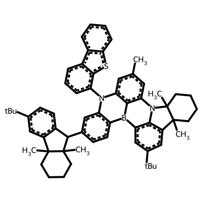 Cc1cc2c3c(c1)N1c4c(cc(C(C)(C)C)cc4C4(C)CCCCC14C)B3c1ccc(C3c4ccc(C(C)(C)C)cc4C4(C)CCCCC34C)cc1N2c1cccc2c1sc1ccccc12